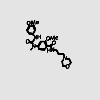 COc1ccc(NC(=O)N(C)c2ccc(C(=O)NCCCN3CCOCC3)c(OC)c2)cc1